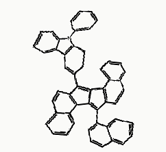 C1=C(C2=C3C(=C(c4cccc5ccccc45)c4ccc5ccccc5c43)c3c2ccc2ccccc32)CCc2c1c1ccccc1n2-c1ccccc1